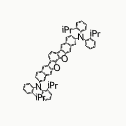 CC(C)c1ccccc1N(c1ccc2cc3c(cc2c1)oc1c3ccc2c3cc4ccc(N(c5ccccc5C(C)C)c5ccccc5C(C)C)cc4cc3oc21)c1ccccc1C(C)C